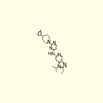 CCc1nc2cnc(Nc3ccnc(N4CCC(OC)CC4)n3)cc2n1C(C)C